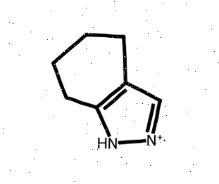 C1=[N+]NC2=C1CCCC2